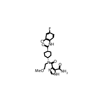 COCCN(C(=O)c1nc[nH]c1C(N)=O)[C@H]1CC[C@H](C(=O)Nc2ccc(F)cc2Cl)CC1